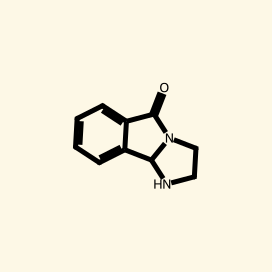 O=C1c2ccccc2C2NCCN12